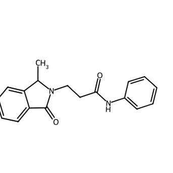 CC1c2ccccc2C(=O)N1CCC(=O)Nc1ccccc1